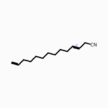 C=CCCCCCCCC/C=C/CC#N